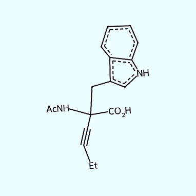 CCC#CC(Cc1c[nH]c2ccccc12)(NC(C)=O)C(=O)O